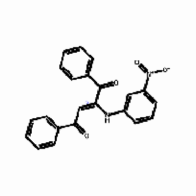 O=C(/C=C(\Nc1cccc([N+](=O)[O-])c1)C(=O)c1ccccc1)c1ccccc1